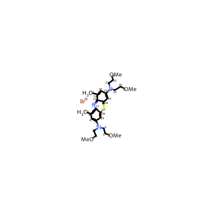 COCCN(CCOC)c1cc(C)c2nc3c(C)cc(N(CCOC)CCOC)cc3[s+]c2c1.[Br-]